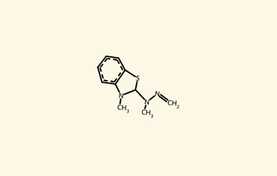 C=NN(C)C1Sc2ccccc2N1C